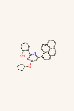 Oc1ccccc1-c1nc(OC2CCCC2)cc(-c2ccc3ccc4cccc5ccc2c3c45)n1